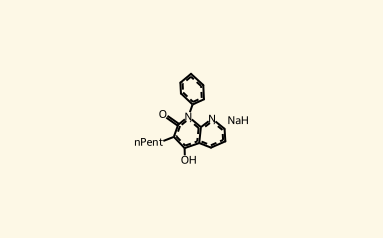 CCCCCc1c(O)c2cccnc2n(-c2ccccc2)c1=O.[NaH]